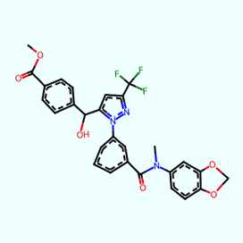 COC(=O)c1ccc(C(O)c2cc(C(F)(F)F)nn2-c2cccc(C(=O)N(C)c3ccc4c(c3)OCO4)c2)cc1